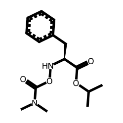 CC(C)OC(=O)[C@H](Cc1ccccc1)NOC(=O)N(C)C